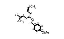 C/C=C\C[C@H](C/C=C(\C)Cl)OCc1ccc(OC)cc1